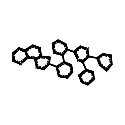 c1ccc(-c2ncc(-c3ccccc3-c3ccccc3-c3cnc4c(ccc5cccnc54)c3)nc2-c2ccccc2)cc1